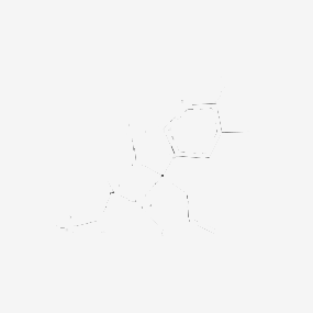 C=CCC(CO)(c1ccc(Cl)c(Cl)c1)N(C)C(=O)OC(C)(C)C